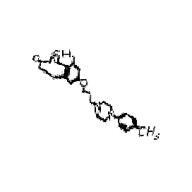 Cc1ccc(N2CCN(CCCOc3ccc4c(c3)CCC(=O)N4C)CC2)cc1